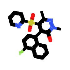 Cc1nn(C)c(=O)c(-c2ccc(F)c3ccccc23)c1S(=O)(=O)c1ccccn1